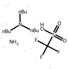 CCCCN(CCCC)CCCC.N.O=S(=O)(O)C(F)(F)F